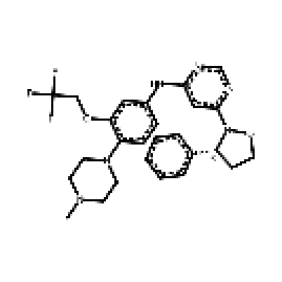 CN1CCN(c2ccc(Nc3cc(N4OCC[C@@H]4c4ccccc4)ncn3)cc2OCC(F)(F)F)CC1